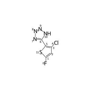 Fc1cc(Cl)c(-c2nnn[nH]2)s1